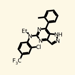 CCN(c1nc(-c2ccccc2C)c2[nH]ncc2n1)c1ccc(C(F)(F)F)cc1Cl